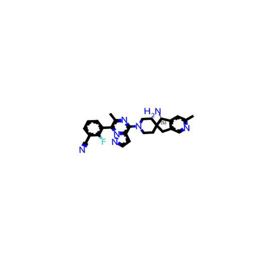 Cc1cc2c(cn1)CC1(CCN(c3nc(C)c(-c4cccc(C#N)c4F)n4nccc34)CC1)[C@@H]2N